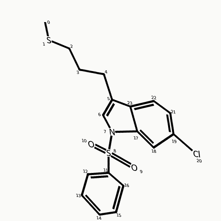 CSCCCc1[c]n(S(=O)(=O)c2ccccc2)c2cc(Cl)ccc12